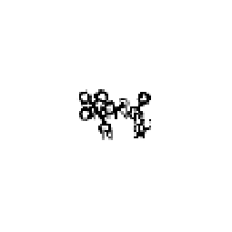 CC(C)(C)OC(=O)N1CC(NC(=O)c2ccc3c(c2)c(-c2ccncc2)nn3C(c2ccccc2)(c2ccccc2)c2ccccc2)CC(c2ccccc2)C1